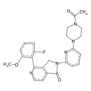 COc1cccc(F)c1-c1nccc2c1CN(c1cccc(N3CCN(C(C)=O)CC3)n1)C2=O